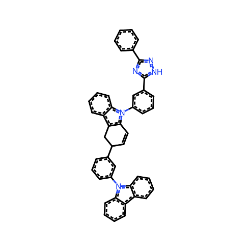 C1=CC(c2cccc(-n3c4ccccc4c4ccccc43)c2)Cc2c1n(-c1cccc(-c3nc(-c4ccccc4)n[nH]3)c1)c1ccccc21